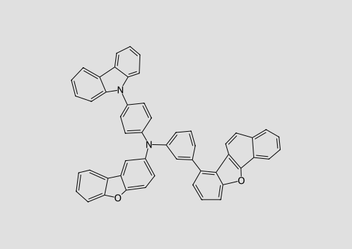 c1cc(-c2cccc3oc4c5ccccc5ccc4c23)cc(N(c2ccc(-n3c4ccccc4c4ccccc43)cc2)c2ccc3oc4ccccc4c3c2)c1